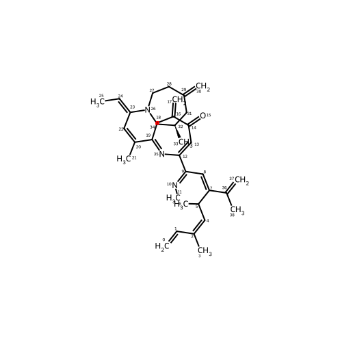 C=C/C(C)=C\C(C)/C(=C\C(=N/C)C1=CC(=O)C(=C)CC(/C(C)=C\C(=C/C)N2CCC(=C)C[C@@H](C)C2)=N1)C(=C)C